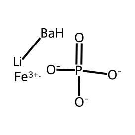 O=P([O-])([O-])[O-].[Fe+3].[Li][BaH]